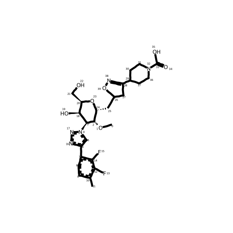 CO[C@@H]1[C@@H](n2cc(-c3ccc(C)c(F)c3F)nn2)[C@@H](O)[C@@H](CO)O[C@@H]1CC1CC(C2CCN(C(=O)O)CC2)=NO1